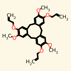 C=CCOc1cc2c(cc1OC)Cc1cc(OCC=C)c(OC)cc1Cc1cc(OCC=C)c(OC)cc1C2